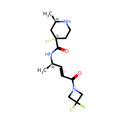 C[C@H](/C=C/C(=O)N1CC(F)(F)C1)NC(=O)[C@]1(F)CCN[C@H](C)C1